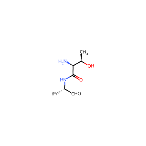 CC(C)[C@@H](C=O)NC(=O)[C@@H](N)[C@@H](C)O